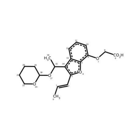 CC=Cc1oc2c(OCC(=O)O)cccc2c1C(C)OC1CCCCO1